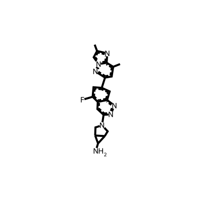 Cc1cn2nc(-c3cc(F)c4cc(N5CC6C(N)C6C5)nnc4c3)cc(C)c2n1